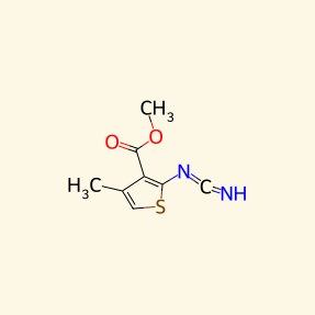 COC(=O)c1c(C)csc1N=C=N